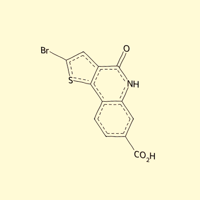 O=C(O)c1ccc2c(c1)[nH]c(=O)c1cc(Br)sc12